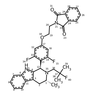 C[C@@H]1Cc2c([nH]c3ccccc23)[C@@H](c2c(F)cc(OCCN3C(=O)c4ccccc4C3=O)cc2F)N1CC(C)(C)F